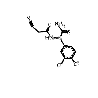 N#CCC(=O)NN(C(N)=S)c1ccc(Cl)c(Cl)c1